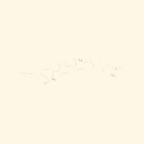 C=CCc1ccc(-c2ccc(-c3ccc(C=CCCCC(C)O)nc3)cc2)c(F)c1F